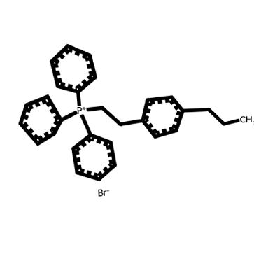 CCCc1ccc(CC[P+](c2ccccc2)(c2ccccc2)c2ccccc2)cc1.[Br-]